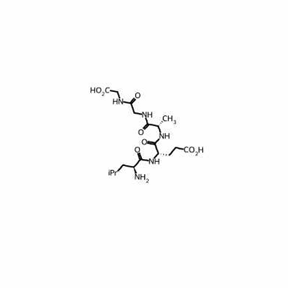 CC(C)C[C@H](N)C(=O)N[C@@H](CCC(=O)O)C(=O)N[C@@H](C)C(=O)NCC(=O)NCC(=O)O